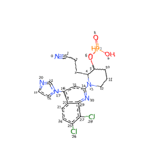 N#CCCC1C(O[PH](=O)O)CCCN1c1cc(-n2ccnc2)c2ccc(Cl)c(Cl)c2n1